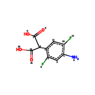 Nc1cc(F)c(C(C(=O)O)C(=O)O)cc1F